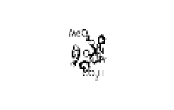 COCCOCc1c(C(=O)N(CC(C)C)[C@H]2C[C@@H](C(=O)N3CCOCC3)CN(C(=O)O)C2)nnn1-c1ccccc1